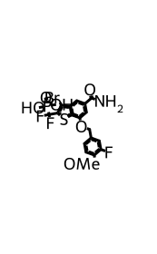 COc1ccc(COc2cc(C(N)=O)cc3c(Br)c(C(F)(F)P(=O)(O)O)sc23)cc1F